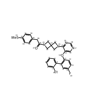 CCc1ccccc1-c1cc(F)ccc1Oc1cncnc1N1CC2(CN(C(=O)Cc3ccc(SC)cc3)C2)C1